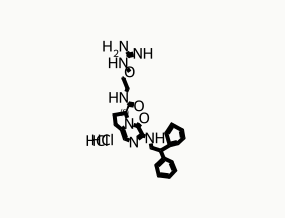 Cl.Cl.N=C(N)NOCCNC(=O)[C@@H]1CCc2cnc(NCC(c3ccccc3)c3ccccc3)c(=O)n21